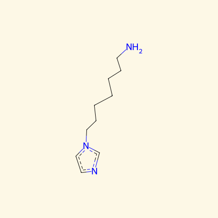 NCCCCCCCn1ccnc1